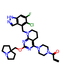 C=CC(=O)N1CCN(c2nc(OCC34CCCN3CCC4)nc3c2CCCN3Cc2c(Cl)c(F)cc3[nH]ncc23)CC1